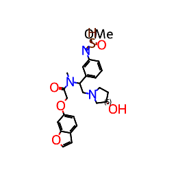 CO[SH](=O)=Nc1cccc(C(CN2CC[C@H](O)C2)N(C)C(=O)COc2ccc3ccoc3c2)c1